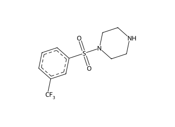 O=S(=O)(c1cccc(C(F)(F)F)c1)N1CCNCC1